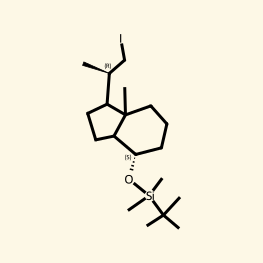 C[C@@H](CI)C1CCC2[C@@H](O[Si](C)(C)C(C)(C)C)CCCC21C